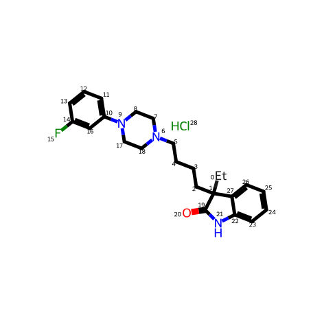 CCC1(CCCCN2CCN(c3cccc(F)c3)CC2)C(=O)Nc2ccccc21.Cl